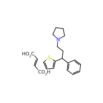 O=C(O)C=CC(=O)O.c1ccc(C(CCN2CCCC2)c2cccs2)cc1